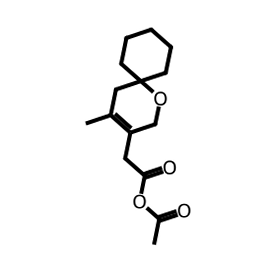 CC(=O)OC(=O)CC1=C(C)CC2(CCCCC2)OC1